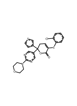 O=C1OC(c2cnc(N3CCOCC3)nc2)(c2ccsc2)C[C]=C1Sc1ccccc1Cl